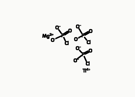 O=P([O-])([O-])Cl.O=P([O-])([O-])Cl.O=P([O-])([O-])Cl.[Mg+2].[Ti+4]